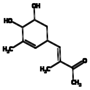 CC(=O)/C(C)=C/C1C=C(C)C(O)C(O)C1